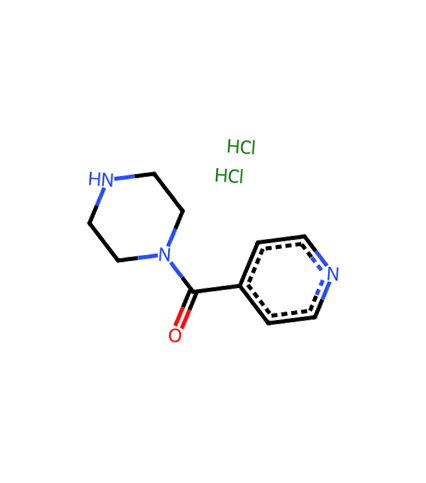 Cl.Cl.O=C(c1ccncc1)N1CCNCC1